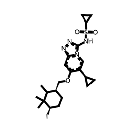 CC1[C@@H](COc2cc3nnc(NS(=O)(=O)C4CC4)n3cc2C2CC2)CC[C@@H](I)C1(C)C